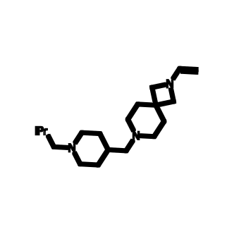 C=CN1CC2(CCN(CC3CCN(CC(C)C)CC3)CC2)C1